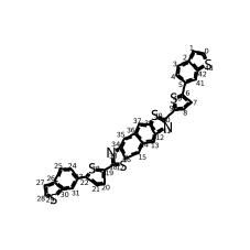 c1cc2ccc(-c3ccc(-c4nc5cc6cc7sc(-c8ccc(-c9ccc%10ccsc%10c9)s8)nc7cc6cc5s4)s3)cc2s1